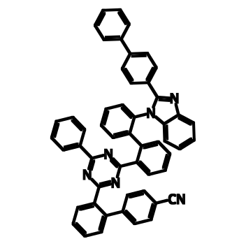 N#Cc1ccc(-c2ccccc2-c2nc(-c3ccccc3)nc(-c3ccccc3-c3ccccc3-n3c(-c4ccc(-c5ccccc5)cc4)nc4ccccc43)n2)cc1